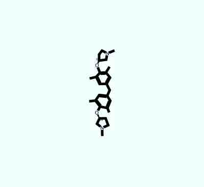 Cc1cc(Cc2cc(C)c(O[C@H]3CCN(C)C3)c(C)c2)cc(C)c1O[C@H]1CCN(C)C1